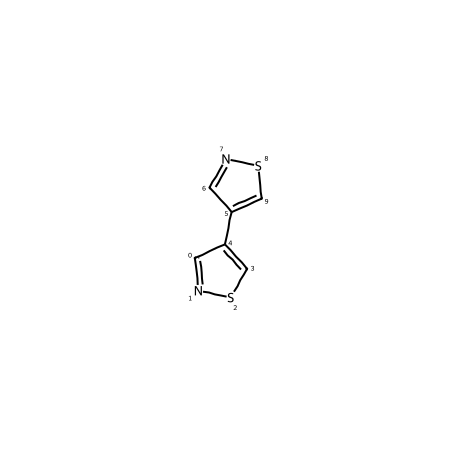 [c]1nscc1-c1cnsc1